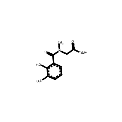 COC(=O)CN(C)C(=O)c1cccc([N+](=O)[O-])c1O